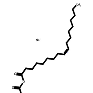 CCCCCCCC/C=C\CCCCCCCC(=O)OC(=O)[O-].[Na+]